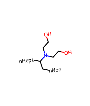 CCCCCCCCCCC(CCCCCCC)N(CCO)CCO